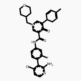 CC1=CCC(c2cn(CC3CCOCC3)cc(C(=O)Nc3ccc(-c4c(Cl)ccnc4N)c(F)c3)c2=O)C=C1